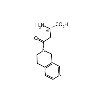 N[C@@H](CC(=O)N1CCc2ccncc2C1)C(=O)O